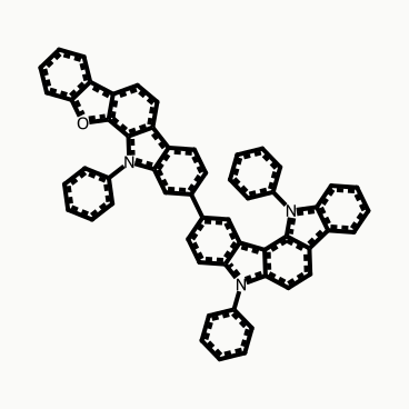 c1ccc(-n2c3ccc(-c4ccc5c6ccc7c8ccccc8oc7c6n(-c6ccccc6)c5c4)cc3c3c2ccc2c4ccccc4n(-c4ccccc4)c23)cc1